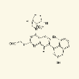 CCc1cccc2cc(O)cc(-c3ncc4c(N5C[C@H]6CC[C@@H](C5)N6C(=O)O)nc(OCC=O)nc4c3F)c12